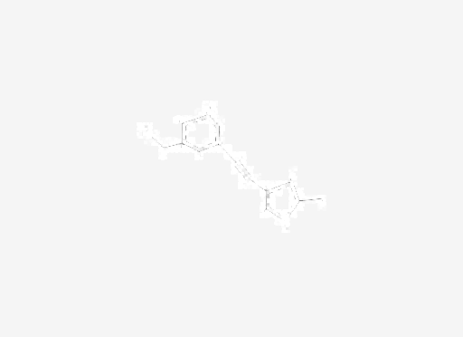 Cc1nc(C#Cc2cncc(CO)c2)cs1